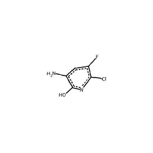 Nc1cc(F)c(Cl)nc1O